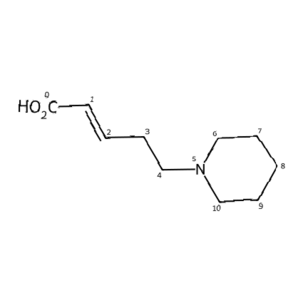 O=C(O)C=CCCN1CCCCC1